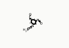 O=C=NC1CC(N=C=O)CC(N=C=O)C1.S